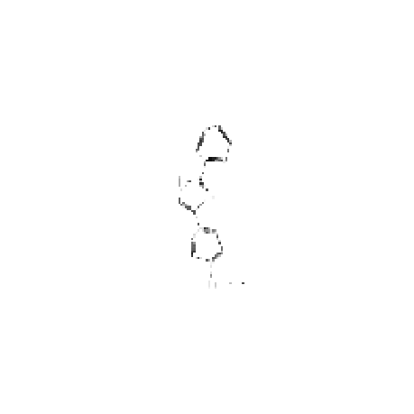 CCCCCCc1ccc(-c2c[nH]c(-c3ccccc3)n2)cc1